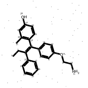 CC/C(=C(/c1ccc(OCCN)cc1)c1ccc(O)cc1C)c1ccccc1